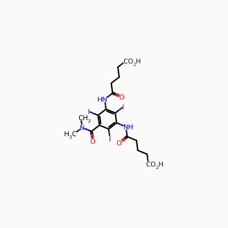 CN(C)C(=O)c1c(I)c(NC(=O)CCCC(=O)O)c(I)c(NC(=O)CCCC(=O)O)c1I